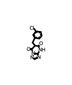 O=C1Nc2ncnn2C(=O)C1Cc1cccc(Cl)c1